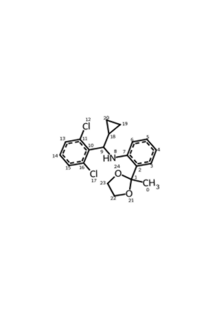 CC1(c2ccccc2NC(c2c(Cl)cccc2Cl)C2CC2)OCCO1